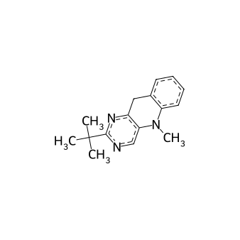 CN1c2ccccc2Cc2nc(C(C)(C)C)ncc21